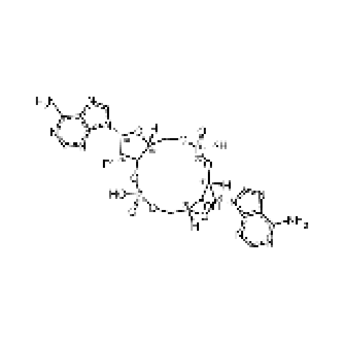 Nc1ncnc2c1ncn2[C@@H]1O[C@@H]2CO[P@](=O)(S)O[C@H]3C(O)[C@@H](COP(=O)(O)OC2[C@@H]1F)O[C@H]3n1cnc2c(N)ncnc21